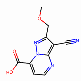 COCc1nn2c(C(=O)O)ccnc2c1C#N